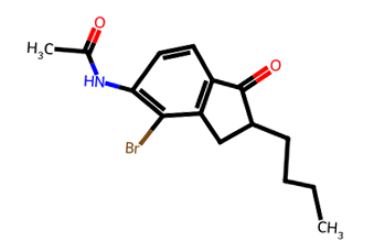 CCCCC1Cc2c(ccc(NC(C)=O)c2Br)C1=O